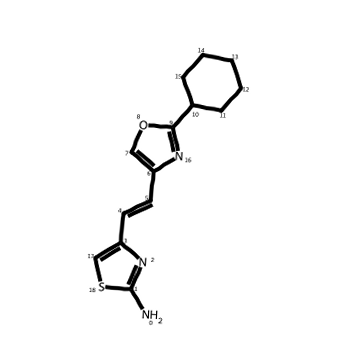 Nc1nc(/C=C/c2coc(C3CCCCC3)n2)cs1